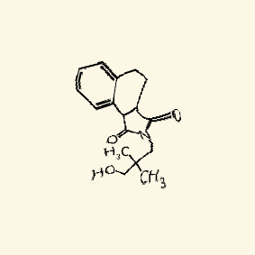 CC(C)(CO)CN1C(=O)C2CCc3ccccc3C2C1=O